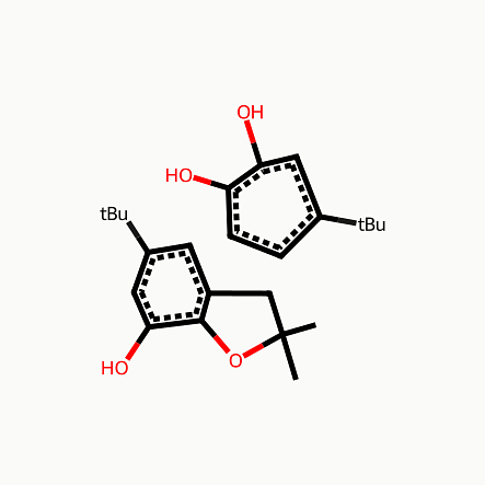 CC(C)(C)c1ccc(O)c(O)c1.CC1(C)Cc2cc(C(C)(C)C)cc(O)c2O1